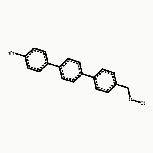 CCCc1ccc(-c2ccc(-c3ccc(COCC)cc3)cc2)cc1